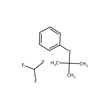 CC(C)(C)Sc1ccccc1.FC(F)F